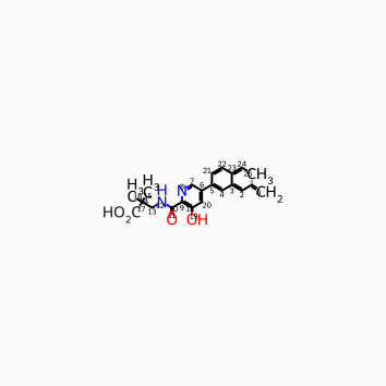 C=C/C=c1/cc(-c2cnc(C(=O)NCC(C)(C)C(=O)O)c(O)c2)cc/c1=C/C